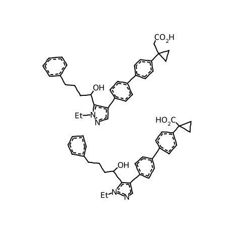 CCn1ncc(-c2ccc(-c3ccc(C4(C(=O)O)CC4)cc3)cc2)c1C(O)CCCc1ccccc1.CCn1ncc(-c2ccc(-c3ccc(C4(CC(=O)O)CC4)cc3)cc2)c1C(O)CCCc1ccccc1